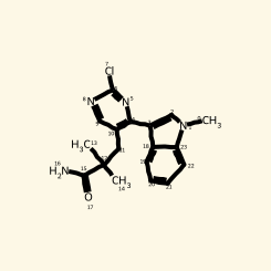 Cn1cc(-c2nc(Cl)ncc2CC(C)(C)C(N)=O)c2ccccc21